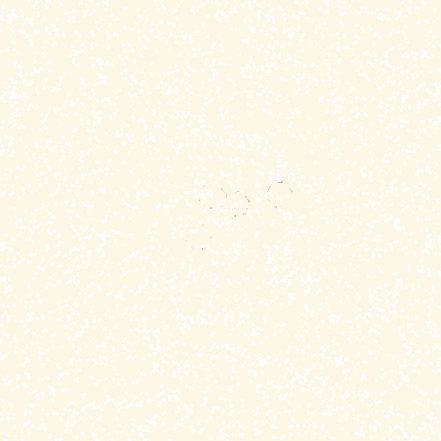 Cc1cc(C2CCCC2)cc(-c2c3ccc(-c4ccccc4)cc3cc[n+]2C)c1C